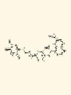 COc1ccc2nccc([C@@H](O)CN3CCC(NCCCn4cc(F)c(=O)[nH]c4=O)CC3)c2c1